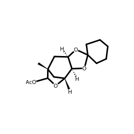 CC(=O)OC1O[C@@H]2C[C@@]1(C)C[C@H]1OC3(CCCCC3)O[C@@H]21